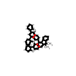 CC1(C)c2ccccc2-c2c(-c3ccccc3N(c3ccccc3-c3ccc4oc5ccccc5c4c3)c3cccc4oc5ccccc5c34)cccc21